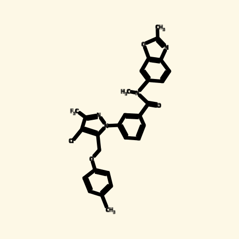 Cc1ccc(OCc2c(Cl)c(C(F)(F)F)nn2-c2cccc(C(=O)N(C)c3ccc4nc(C)oc4c3)c2)cc1